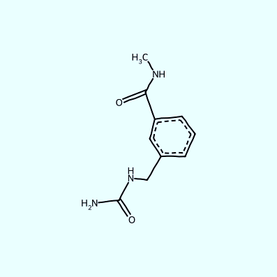 CNC(=O)c1cccc(CNC(N)=O)c1